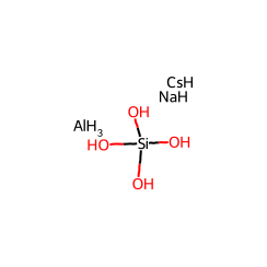 O[Si](O)(O)O.[AlH3].[CsH].[NaH]